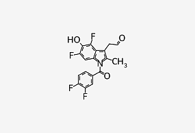 Cc1c(CC=O)c2c(F)c(O)c(F)cc2n1C(=O)c1ccc(F)c(F)c1